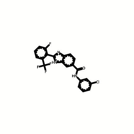 O=C(Nc1cccc(Cl)c1)c1ccc2nc(-c3c(F)cccc3C(F)(F)F)[nH]c2c1